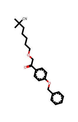 CC(C)(C#N)CCCCCOCC(=O)c1ccc(OCc2ccccc2)cc1